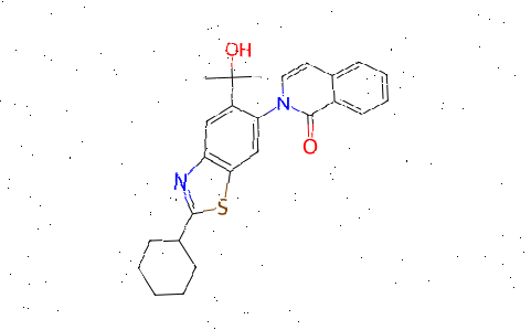 CC(C)(O)c1cc2nc(C3CCCCC3)sc2cc1-n1ccc2ccccc2c1=O